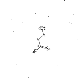 CCCCC(F)=S